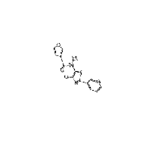 CCN(C(=O)c1ccoc1)c1sc(-c2cccnc2)nc1Cl